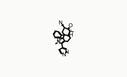 C[C@@H]1C(=O)C(C#N)C[C@@]2(c3ccccc3)c3nn(C)c(-c4ccnnc4)c3CC[C@@H]12